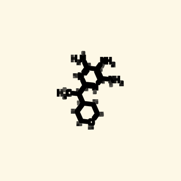 CC(c1nc(N)c(N)c(N)n1)C1CCOCC1